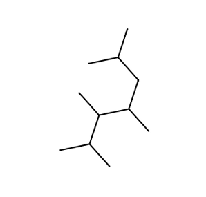 CC(C)CC(C)C(C)C(C)C